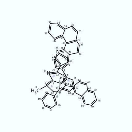 C\C1=C(c2c(-c3ccccc3)cccc2-c2ccccc2)/N=C(c2cnc3c(ccc4ccc5ccccc5c43)c2)\N=C(\c2ccc3ccccc3c2)CC1